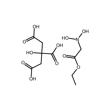 CCOC(=O)CN(O)O.O=C(O)CC(O)(CC(=O)O)C(=O)O